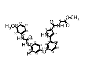 COC(=O)CNC(=O)c1c[nH]c(-c2cc(Oc3ccc(NC(=O)Nc4cccc(C)c4)c(F)c3)ccn2)c1